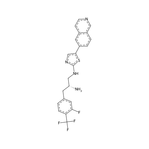 N[C@@H](CNc1ncc(-c2ccc3cnccc3c2)s1)Cc1ccc(C(F)(F)F)c(F)c1